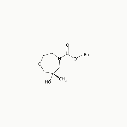 CC(C)(C)OC(=O)N1CCOC[C@@](C)(O)C1